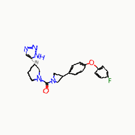 O=C(N1CC(c2ccc(Oc3ccc(F)cc3)cc2)C1)N1CC[C@H](c2cnn[nH]2)C1